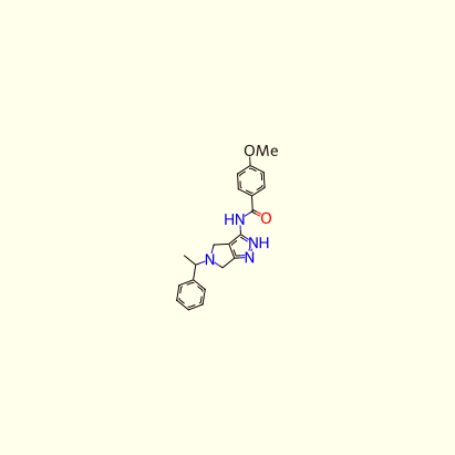 COc1ccc(C(=O)Nc2[nH]nc3c2CN(C(C)c2ccccc2)C3)cc1